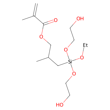 C=C(C)C(=O)OCC(C)C[Si](OCC)(OCCO)OCCO